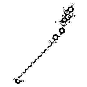 C[C@]12C=CC(=O)C=C1[C@@H](F)C[C@H]1[C@@H]3C[C@H]4O[C@@H](c5ccc(Sc6cccc(NC(=O)CCOCCOCCOCCOCCOCCOCCN7C(=O)C=CC7=O)c6)cc5)O[C@@]4(C(=O)CO)[C@@]3(C)C[C@H](O)[C@@]12F